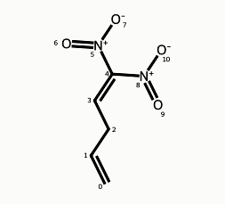 C=CCC=C([N+](=O)[O-])[N+](=O)[O-]